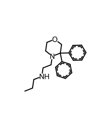 CCCNCCN1CCOCC1(c1ccccc1)c1ccccc1